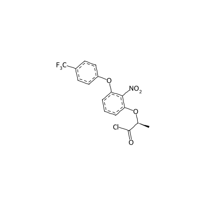 C[C@H](Oc1cccc(Oc2ccc(C(F)(F)F)cc2)c1[N+](=O)[O-])C(=O)Cl